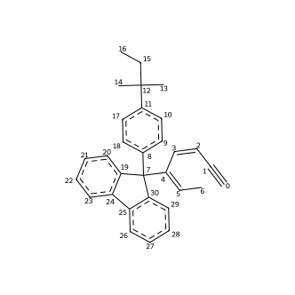 C#C/C=C\C(=C/C)C1(c2ccc(C(C)(C)CC)cc2)c2ccccc2-c2ccccc21